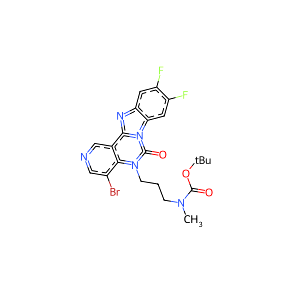 CN(CCCn1c(=O)n2c3cc(F)c(F)cc3nc2c2cncc(Br)c21)C(=O)OC(C)(C)C